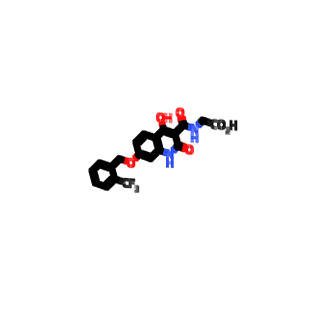 O=C(O)CNC(=O)c1c(O)c2ccc(OCc3ccccc3C(F)(F)F)cc2[nH]c1=O